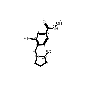 CC[C@H]1CCCN1Cc1ccc(C(=O)NO)cc1F